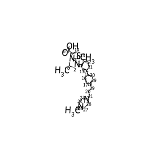 CCCN(c1nc(C(=O)O)cs1)c1cc(-c2ccc(CCCN3CCN(C)CC3)cc2)ccc1C